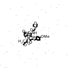 COc1ccc(C[C@H](NC(=O)[C@H](C)NC(=O)CN2CCOCC2)C(=O)N[C@@H](C[C@H]2CNC(=O)C2)C(=O)[C@@]2(C)CO2)cc1